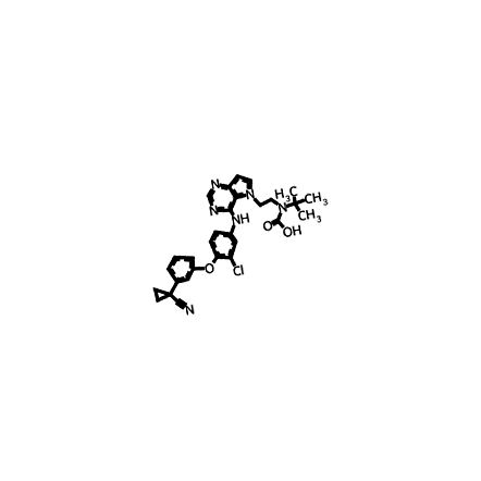 CC(C)(C)N(CCn1ccc2ncnc(Nc3ccc(Oc4cccc(C5(C#N)CC5)c4)c(Cl)c3)c21)C(=O)O